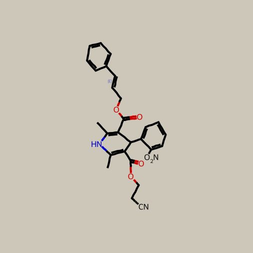 CC1=C(C(=O)OC/C=C/c2ccccc2)C(c2ccccc2[N+](=O)[O-])C(C(=O)OCCC#N)=C(C)N1